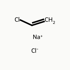 C=CCl.[Cl-].[Na+]